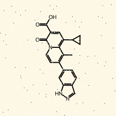 Cc1c(-c2ccc3cn[nH]c3c2)ccn2c(=O)c(C(=O)O)cc(C3CC3)c12